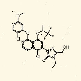 CCn1c(CO)nn(-c2cc(OC(C)C(F)(F)F)c3c(Oc4cc(OC)ncc4Cl)nccc3c2Cl)c1=O